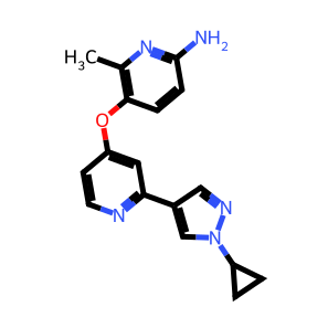 Cc1nc(N)ccc1Oc1ccnc(-c2cnn(C3CC3)c2)c1